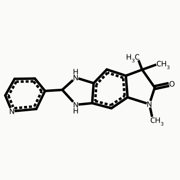 CN1C(=O)C(C)(C)c2cc3c(cc21)NC(c1cccnc1)N3